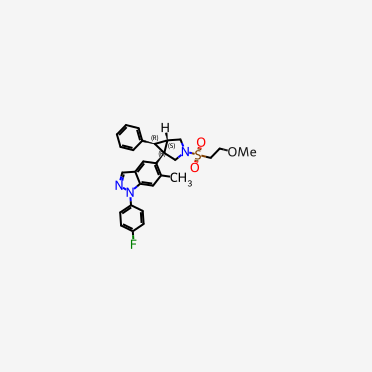 COCCS(=O)(=O)N1C[C@H]2[C@H](c3ccccc3)[C@@]2(c2cc3cnn(-c4ccc(F)cc4)c3cc2C)C1